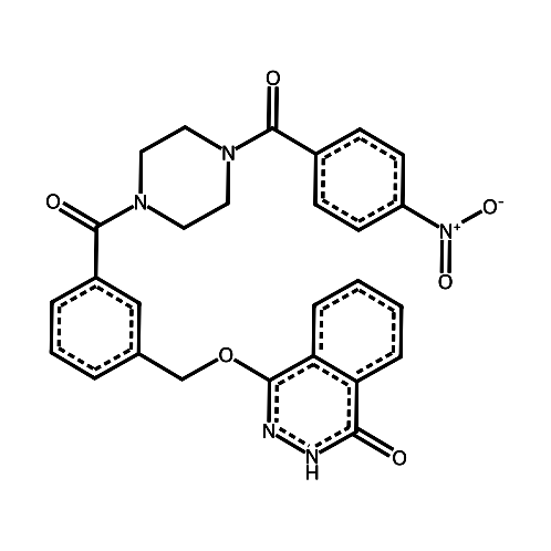 O=C(c1ccc([N+](=O)[O-])cc1)N1CCN(C(=O)c2cccc(COc3n[nH]c(=O)c4ccccc34)c2)CC1